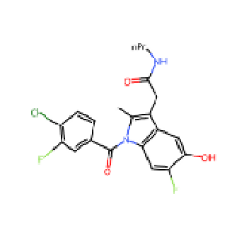 CCCNC(=O)Cc1c(C)n(C(=O)c2ccc(Cl)c(F)c2)c2cc(F)c(O)cc12